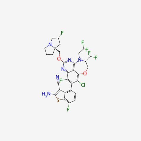 N#Cc1c(N)sc2c(F)ccc(-c3c(Cl)c4c5c(nc(OC[C@@]67CCCN6C[C@H](F)C7)nc5c3F)N(CC(F)F)[C@H](C(F)F)CO4)c12